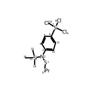 CC(C)SN(c1ccc([Si](Cl)(Cl)Cl)cc1)[Si](C)(C)C